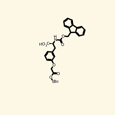 CC(C)(C)OC(=O)COc1cccc(C[C@H](NC(=O)OCC2c3ccccc3-c3ccccc32)C(=O)O)c1